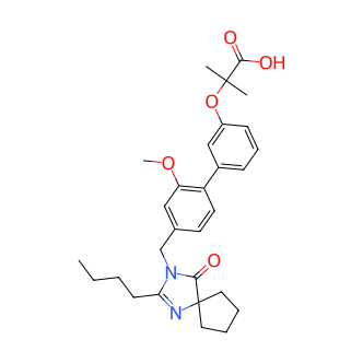 CCCCC1=NC2(CCCC2)C(=O)N1Cc1ccc(-c2cccc(OC(C)(C)C(=O)O)c2)c(OC)c1